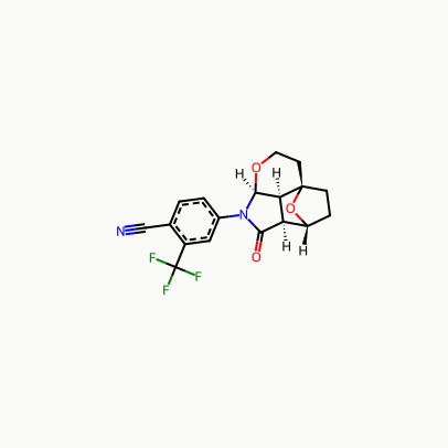 N#Cc1ccc(N2C(=O)[C@H]3[C@H]4[C@@H]2OCC[C@]42CC[C@H]3O2)cc1C(F)(F)F